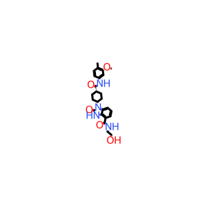 COc1cc(NC(=O)[C@H]2CC[C@@H](n3c(=O)[nH]c4c(C(=O)NCCO)cccc43)CC2)ccc1C